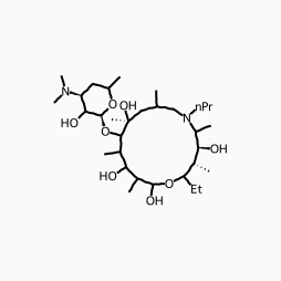 CCCN1CC(C)C[C@](C)(O)C(O[C@@H]2OC(C)C[C@H](N(C)C)C2O)C(C)C(O)C(C)C(O)OC(CC)[C@@H](C)[C@H](O)C1C